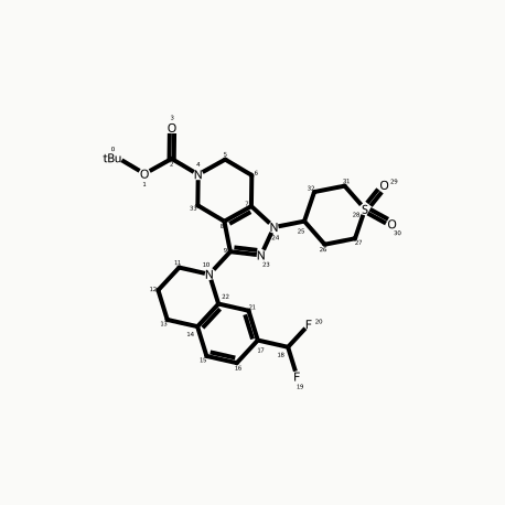 CC(C)(C)OC(=O)N1CCc2c(c(N3CCCc4ccc(C(F)F)cc43)nn2C2CCS(=O)(=O)CC2)C1